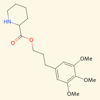 COc1cc(CCCOC(=O)C2CCCCN2)cc(OC)c1OC